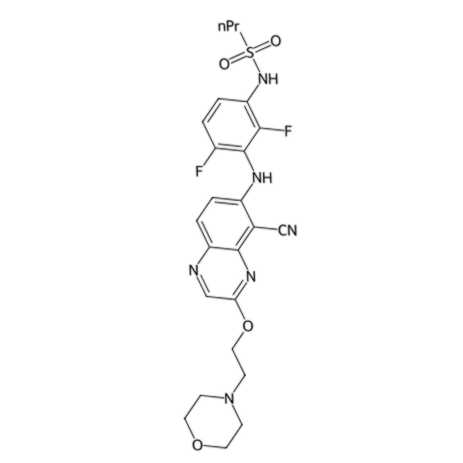 CCCS(=O)(=O)Nc1ccc(F)c(Nc2ccc3ncc(OCCN4CCOCC4)nc3c2C#N)c1F